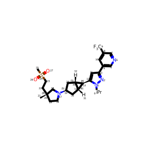 CC(C)n1nc(-c2cncc(C(F)(F)F)c2)cc1[C@H]1[C@@H]2C[C@@H](N3CC[C@](C)(CCS(C)(=O)=O)C3)C[C@@H]21